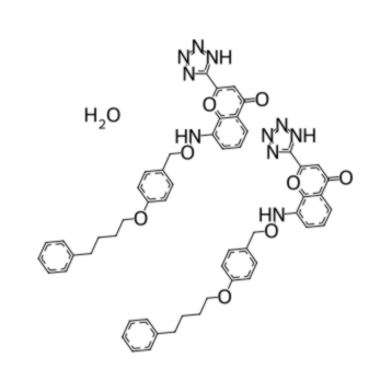 O.O=c1cc(-c2nnn[nH]2)oc2c(NOCc3ccc(OCCCCc4ccccc4)cc3)cccc12.O=c1cc(-c2nnn[nH]2)oc2c(NOCc3ccc(OCCCCc4ccccc4)cc3)cccc12